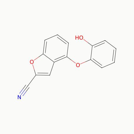 N#Cc1cc2c(Oc3ccccc3O)cccc2o1